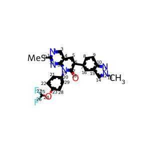 CSc1ncc2cc(-c3ccc4nn(C)cc4c3)c(=O)n(-c3ccc(OC(F)F)cc3)c2n1